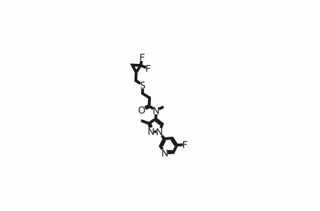 Cc1nn(-c2cncc(F)c2)cc1N(C)C(=O)CCSCC1CC1(F)F